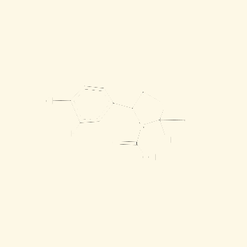 CC1(C)OCC(c2ccc(Cl)c(F)c2)N1C(=O)O